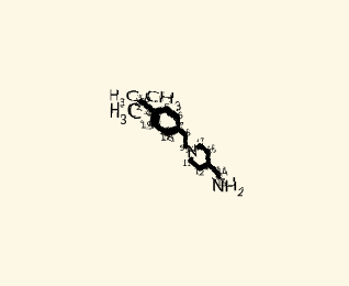 CC(C)(C)c1ccc(CCN2CCC(CN)CC2)cc1